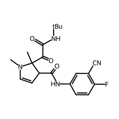 CN1C=CC(C(=O)Nc2ccc(F)c(C#N)c2)C1(C)C(=O)C(=O)NC(C)(C)C